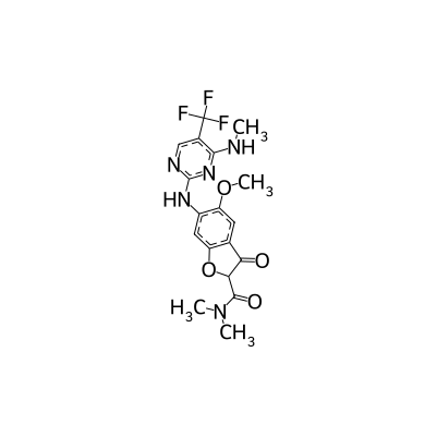 CNc1nc(Nc2cc3c(cc2OC)C(=O)C(C(=O)N(C)C)O3)ncc1C(F)(F)F